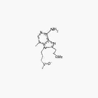 COCCc1nc2c(N)ncc(C)c2n1CCC[S+](C)[O-]